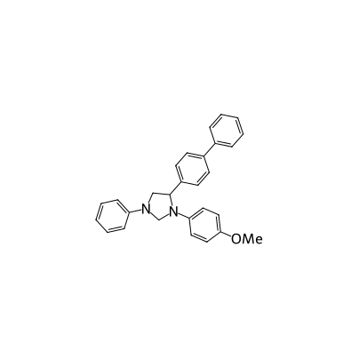 COc1ccc(N2CN(c3ccccc3)CC2c2ccc(-c3ccccc3)cc2)cc1